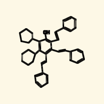 Oc1c(C=Cc2ccccc2)c(C=Cc2ccccc2)c(C=Cc2ccccc2)c(C2CCCCC2)c1C1CCCCC1